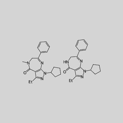 CCc1nn(C2CCCC2)c2c1C(=O)N(C)CC(c1ccccc1)=N2.CCc1nn(C2CCCC2)c2c1C(=O)NCC(c1ccccc1)=N2